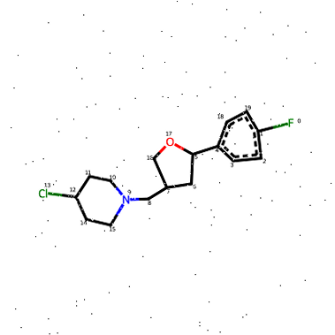 Fc1ccc(C2CC(CN3CCC(Cl)CC3)CO2)cc1